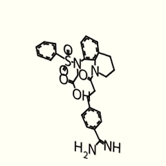 N=C(N)c1ccc(CCC(=O)N2CCCc3cccc(N(CC(=O)O)S(=O)(=O)c4ccccc4)c32)cc1